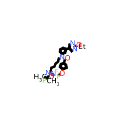 CCOc1ncc(-c2cccc(N(CCCCCc3noc(C(C)(C)F)n3)C(=O)c3ccc(OC(F)F)cc3)c2)cn1